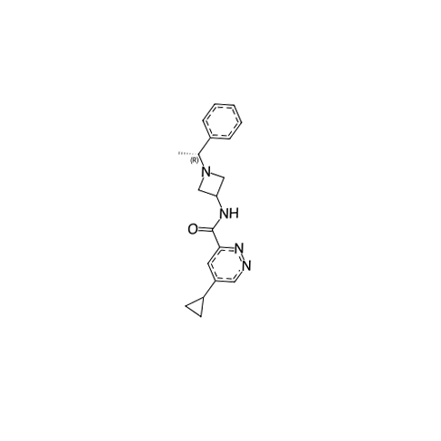 C[C@H](c1ccccc1)N1CC(NC(=O)c2cc(C3CC3)cnn2)C1